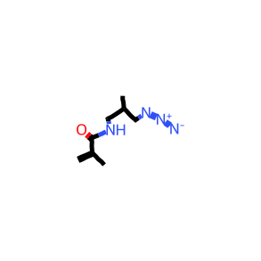 C=C(C)C(=O)NCC(C)CN=[N+]=[N-]